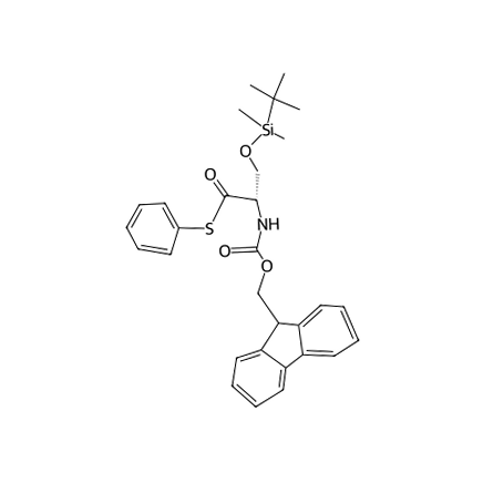 CC(C)(C)[Si](C)(C)OC[C@H](NC(=O)OCC1c2ccccc2-c2ccccc21)C(=O)Sc1ccccc1